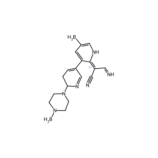 BC1=CN/C(=C(/C#N)C=N)C(C2=CCC(N3CCN(B)CC3)N=C2)=C1